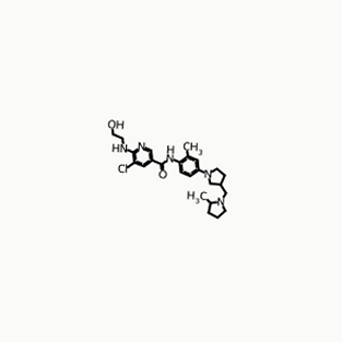 Cc1cc(N2CCC(CN3CCCC3C)C2)ccc1NC(=O)c1cnc(NCCO)c(Cl)c1